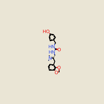 CN(C)[C@H](CNC(=O)NCc1ccc(O)cc1)Cc1cccc2c1OCO2